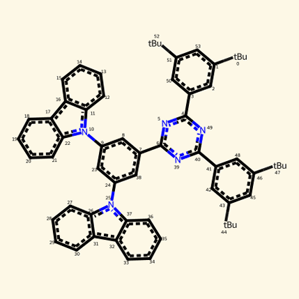 CC(C)(C)c1cc(-c2nc(-c3cc(-n4c5ccccc5c5ccccc54)cc(-n4c5ccccc5c5ccccc54)c3)nc(-c3cc(C(C)(C)C)cc(C(C)(C)C)c3)n2)cc(C(C)(C)C)c1